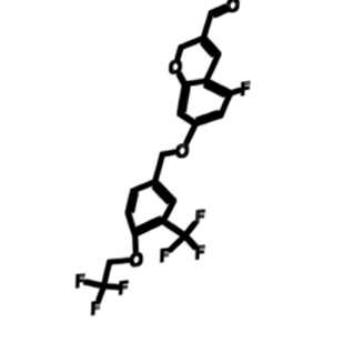 O=CC1=Cc2c(F)cc(OCc3ccc(OCC(F)(F)F)c(C(F)(F)F)c3)cc2OC1